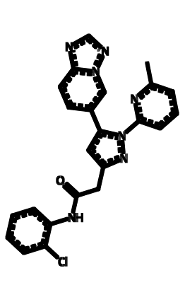 Cc1cccc(-n2nc(CC(=O)Nc3ccccc3Cl)cc2-c2ccc3ncnn3c2)n1